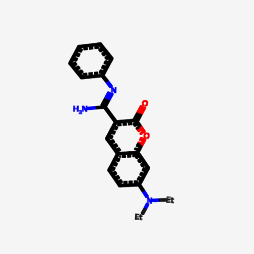 CCN(CC)c1ccc2cc(/C(N)=N/c3ccccc3)c(=O)oc2c1